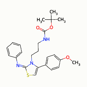 COc1ccc(-c2cs/c(=N/c3ccccc3)n2CCCNC(=O)OC(C)(C)C)cc1